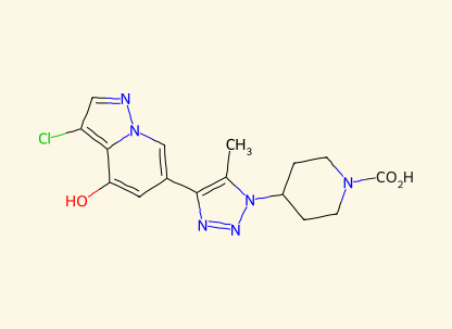 Cc1c(-c2cc(O)c3c(Cl)cnn3c2)nnn1C1CCN(C(=O)O)CC1